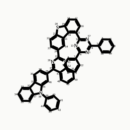 c1ccc(-c2nc(-c3ccccc3)nc(-c3cccc4sc5ccc(-c6nc(-c7ccc8c9ccccc9n(-c9ccccc9)c8c7)c7ccccc7n6)cc5c34)n2)cc1